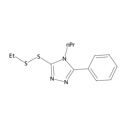 CCCn1c(SSCC)nnc1-c1ccccc1